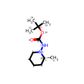 C[C@@H]1CCCCN1NC(=O)OC(C)(C)C